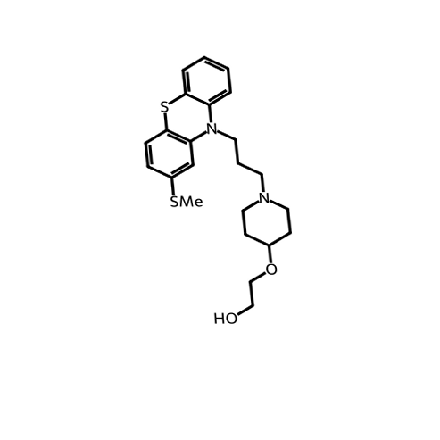 CSc1ccc2c(c1)N(CCCN1CCC(OCCO)CC1)c1ccccc1S2